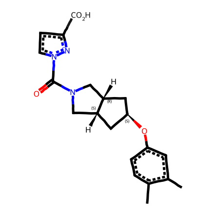 Cc1ccc(O[C@H]2C[C@@H]3CN(C(=O)n4ccc(C(=O)O)n4)C[C@@H]3C2)cc1C